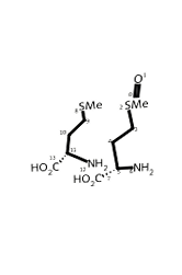 C=O.CSCC[C@H](N)C(=O)O.CSCC[C@H](N)C(=O)O